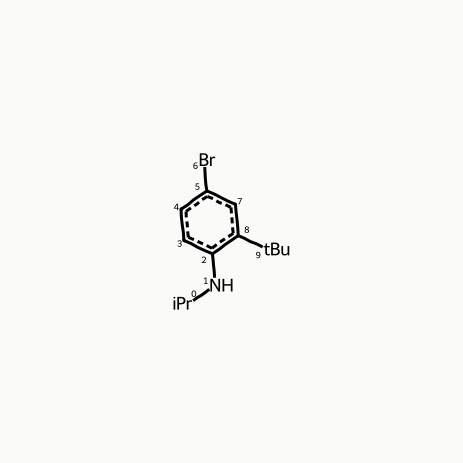 CC(C)Nc1ccc(Br)cc1C(C)(C)C